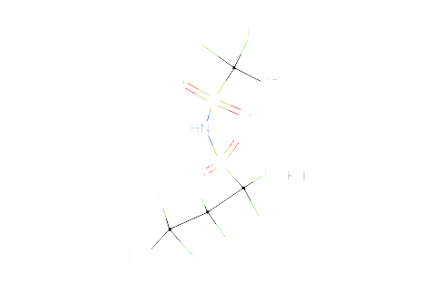 O=S(=O)(NS(=O)(=O)C(F)(F)C(F)(F)C(F)(F)C(F)(F)F)C(F)(F)C(F)(F)F.[KH]